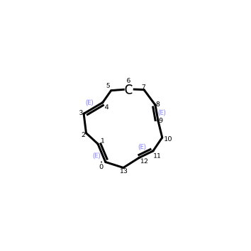 [C]1=C/C/C=C/CCC/C=C/C/C=C/C/1